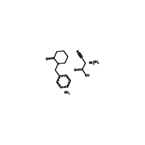 N.N.N#CCC(=O)O.O.O=C1CCCCN1Cc1ccccc1